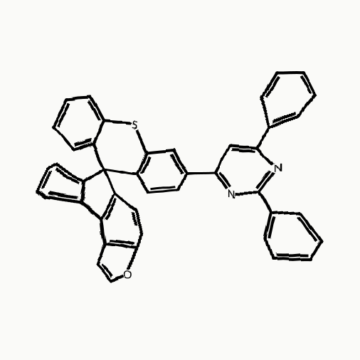 c1ccc(-c2cc(-c3ccc4c(c3)Sc3ccccc3C43c4ccccc4-c4c3ccc3occc43)nc(-c3ccccc3)n2)cc1